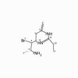 C=C(CCC(Br)[C@@H](C)N)NC(=N)CC